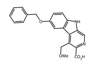 COCc1c(C(=O)O)ncc2[nH]c3ccc(OCc4ccccc4)cc3c12